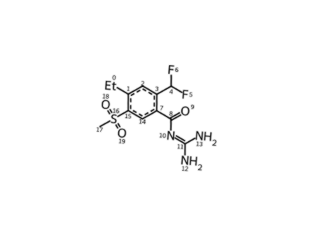 CCc1cc(C(F)F)c(C(=O)N=C(N)N)cc1S(C)(=O)=O